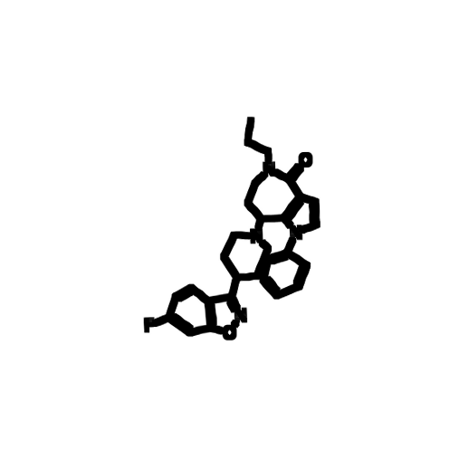 CCCN1CCC(N2CCC(c3noc4cc(F)ccc34)CC2)c2c(ccn2-c2ccccc2)C1=O